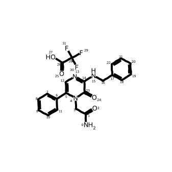 NC(=O)Cn1c(-c2ccccc2)cnc(NCc2ccccc2)c1=O.O=C(O)C(F)(F)F